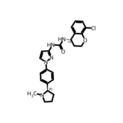 CN1CCC[C@@H]1c1ccc(-n2ccc(NC(=O)N[C@H]3CCOc4c(Cl)cccc43)n2)cc1